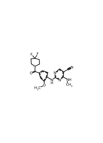 CNc1nc(Nc2ccc(C(=O)N3CCC(F)(F)CC3)cc2OC)ncc1C#N